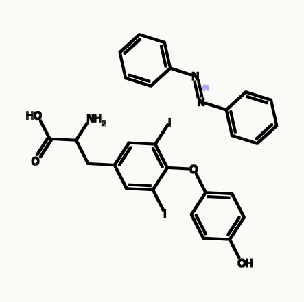 NC(Cc1cc(I)c(Oc2ccc(O)cc2)c(I)c1)C(=O)O.c1ccc(/N=N/c2ccccc2)cc1